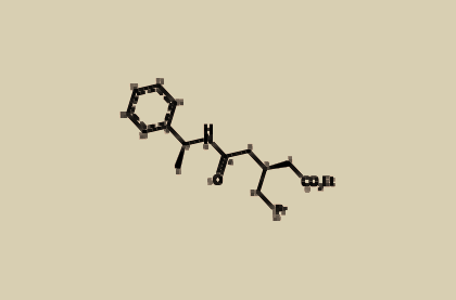 CCOC(=O)C[C@H](CC(=O)N[C@@H](C)c1ccccc1)CC(C)C